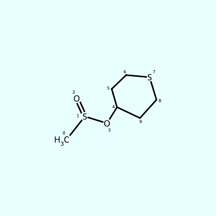 CS(=O)OC1CCSCC1